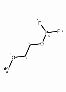 CCCOCCOP(F)F